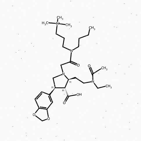 CCCCN(CCC[N+](C)(C)C)C(=O)CN1C[C@H](c2ccc3c(c2)OCO3)[C@@H](C(=O)O)[C@@H]1CCN(CC)C(C)=O